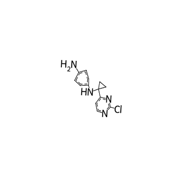 Nc1ccc(NC2(c3ccnc(Cl)n3)CC2)cc1